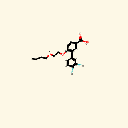 CCCCOCCOc1ccc(C(=O)O)cc1-c1ccc(F)c(F)c1